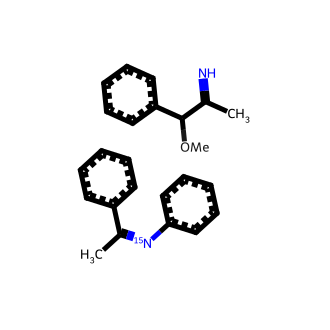 CC(=[15N]c1ccccc1)c1ccccc1.COC(C(C)=N)c1ccccc1